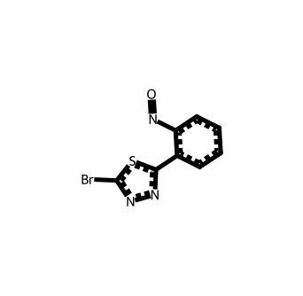 O=Nc1ccccc1-c1nnc(Br)s1